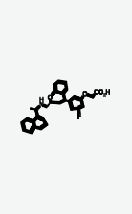 C[C@@H](NC[C@H]1C[C@H](c2cc(F)cc(OCC(=O)O)c2)c2ccccc2O1)c1cccc2ccccc12